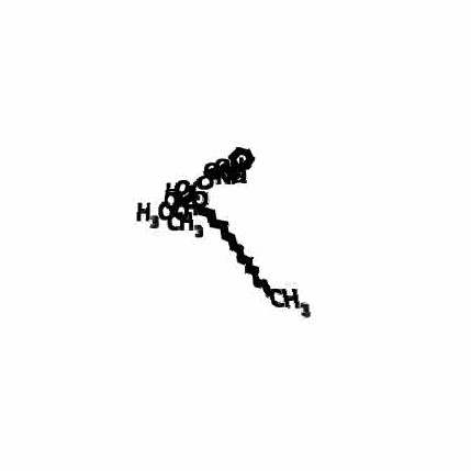 CCCCCCCCCCCCCCCCO[C@@H]1[C@H]2OC(C)(C)O[C@H]2O[C@@H]1COC(=O)NS(=O)(=O)N1CCCCC1